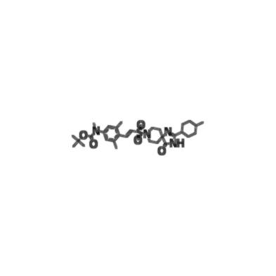 Cc1cc(N(C)C(=O)OC(C)(C)C)cc(C)c1C=CS(=O)(=O)N1CCC2(CC1)N=C(C1CCC(C)CC1)NC2=O